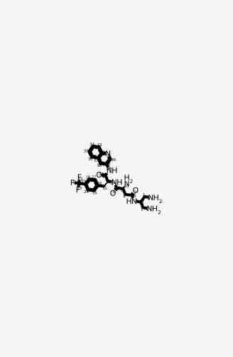 NCC(CN)NC(=O)C[C@H](N)C(=O)N[C@@H](Cc1ccc(C(F)(F)F)cc1)C(=O)Nc1cnc2ccccc2c1